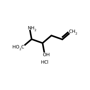 C=CCC(O)C(N)C(=O)O.Cl